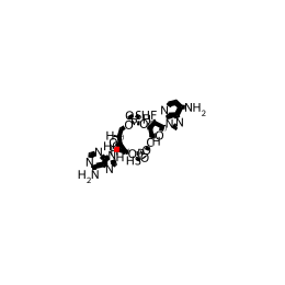 Nc1ccnc2c1ncn2[C@@H]1O[C@@H]2COP(=O)(S)O[C@@H]3[C@H](O)[C@@H](COP(=O)(S)O[C@H]2[C@H]1F)O[C@H]3n1cnc2c(N)ncnc21